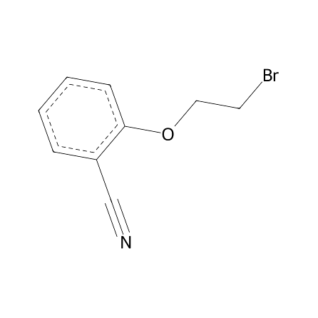 N#Cc1ccccc1OCCBr